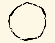 C1=CCCCCCC=CCCCCCC=CCCCCC1